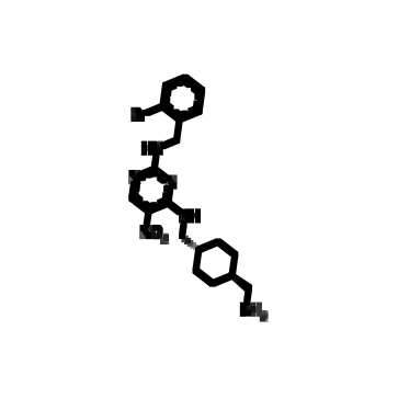 NC[C@H]1CC[C@H](CNc2nc(NCc3ccccc3Br)ncc2[N+](=O)[O-])CC1